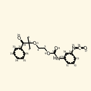 CC(C)(OCCOC(=O)Nc1cccc(N=C=O)c1)C(=O)c1ccccc1